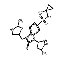 CC1NCC(Cn2c(=O)n(C3NNC(C)S3)c3cc(S(=O)(=O)NC4(C)CC4)ccc32)S1